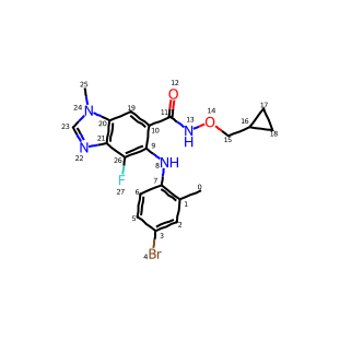 Cc1cc(Br)ccc1Nc1c(C(=O)NOCC2CC2)cc2c(ncn2C)c1F